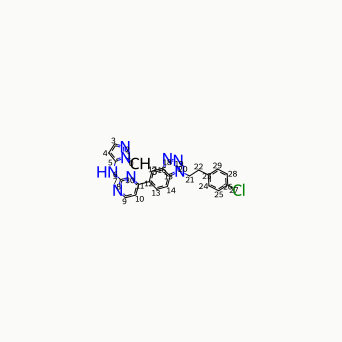 Cn1nccc1Nc1nccc(-c2ccc3c(c2)nnn3CCc2ccc(Cl)cc2)n1